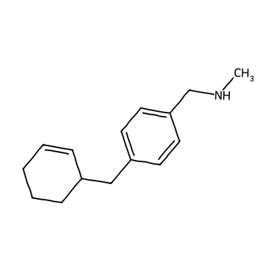 CNCc1ccc(CC2C=CCCC2)cc1